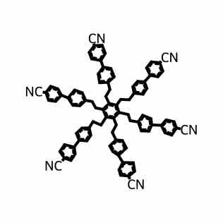 N#Cc1ccc(-c2ccc(CCc3c(CCc4ccc(-c5ccc(C#N)cc5)cc4)c(CCc4ccc(-c5ccc(C#N)cc5)cc4)c(CCc4ccc(-c5ccc(C#N)cc5)cc4)c(CCc4ccc(-c5ccc(C#N)cc5)cc4)c3CCc3ccc(-c4ccc(C#N)cc4)cc3)cc2)cc1